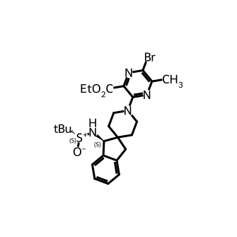 CCOC(=O)c1nc(Br)c(C)nc1N1CCC2(CC1)Cc1ccccc1[C@H]2N[S@+]([O-])C(C)(C)C